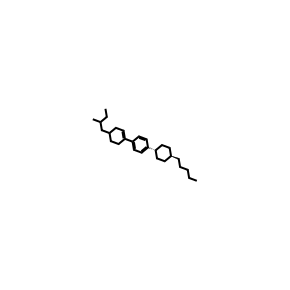 CCCCC[C@H]1CC[C@H](c2ccc(C3=CCC(CC(C)CC)CC3)cc2)CC1